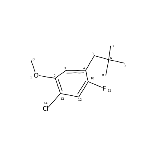 COc1cc(CC(C)(C)C)c(F)cc1Cl